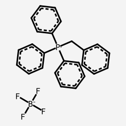 F[B-](F)(F)F.c1ccc(C[P](c2ccccc2)(c2ccccc2)c2ccccc2)cc1